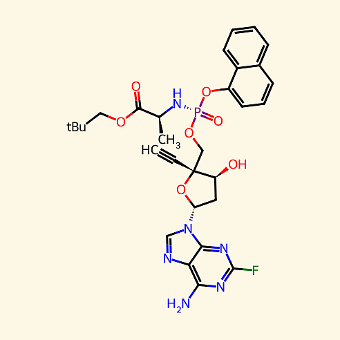 C#C[C@]1(CO[P@@](=O)(N[C@@H](C)C(=O)OCC(C)(C)C)Oc2cccc3ccccc23)O[C@@H](n2cnc3c(N)nc(F)nc32)C[C@@H]1O